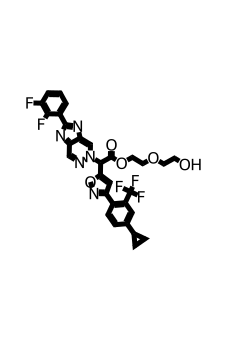 O=C(OCCOCCO)C(c1cc(-c2ccc(C3CC3)cc2C(F)(F)F)no1)n1cc2nc(-c3cccc(F)c3F)nc-2cn1